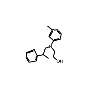 Cc1cccc(N(CCO)CC(C)c2ccccc2)c1